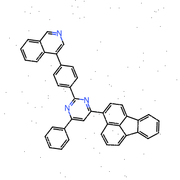 c1ccc(-c2cc(-c3ccc4c5c(cccc35)-c3ccccc3-4)nc(-c3ccc(-c4cncc5ccccc45)cc3)n2)cc1